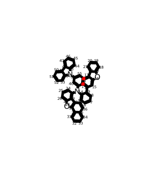 c1cc(N(c2ccccc2-c2ccc3c(c2)oc2ccccc23)c2cccc3oc4c5ccccc5ccc4c23)cc(-n2c3ccccc3c3ccccc32)c1